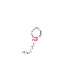 CCCCCCCCCCCCCCCCCC(=O)OC1CCCCCCCCCCCCCC1